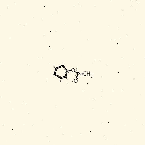 C[P](=O)Oc1ccccc1